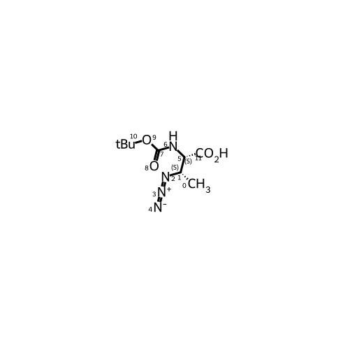 C[C@H](N=[N+]=[N-])[C@H](NC(=O)OC(C)(C)C)C(=O)O